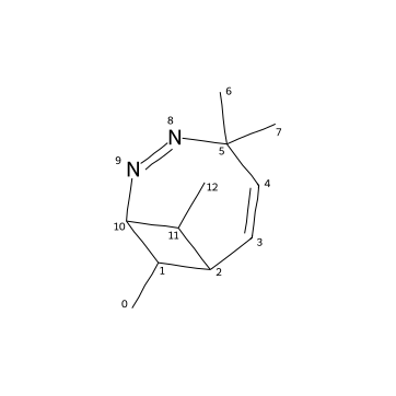 CC1C2/C=C\C(C)(C)/N=N\C1C2C